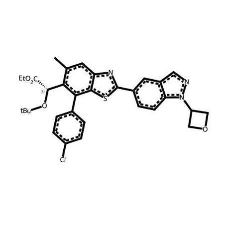 CCOC(=O)[C@@H](OC(C)(C)C)c1c(C)cc2nc(-c3ccc4c(cnn4C4COC4)c3)sc2c1-c1ccc(Cl)cc1